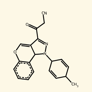 CC1C=CC(N2N=C(C(=O)CC#N)C3=COc4ccccc4C32)C=C1